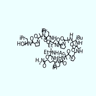 CCC(C)C(NC(=O)C(C)NC(=O)C1CCCN1C(=O)C(C)(C)NC(=O)C(CC(C)C)NC(=O)C(CCC(N)=O)NC(=O)C(C)(CC)NC(C)=O)C(=O)NC(C)(C)C(=O)N1CCCC1C(=O)NC(C)(CC)C(=O)NC(CC(C)C)C(=O)NC(C)(C)C(=O)N1CCCC1C(=O)NC(CO)CC(C)C